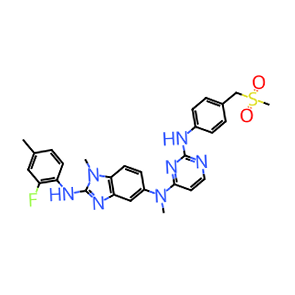 Cc1ccc(Nc2nc3cc(N(C)c4ccnc(Nc5ccc(CS(C)(=O)=O)cc5)n4)ccc3n2C)c(F)c1